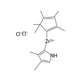 CC1=C(C)C(C)(C)[C]([Zr+2][c]2[nH]cc(C)c2C)=C1C.[Cl-].[Cl-]